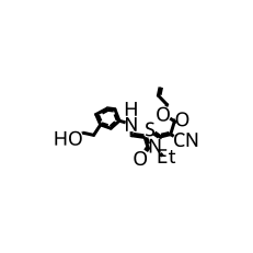 C=CCOC(=O)C(C#N)=c1sc(=CNc2cccc(CCO)c2)c(=O)n1CC